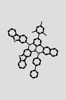 Cc1cc(C)c(-c2cc3c4c(c2)N(c2ccc5c(c2)sc2ccccc25)c2cc5sc6ccccc6c5cc2B4N(c2ccc(-c4ccccc4)cc2)c2cc4ccccc4cc2-3)c(C)c1